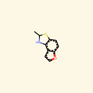 CC1Nc2c(ccc3occc23)S1